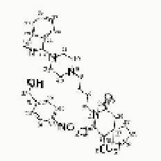 O=C(O)C1C(=O)N(CCCCN2CCN(c3nsc4ccccc34)CC2)C(=O)CC12CCCC2.O=[N+]([O-])c1ccc(CO)cc1